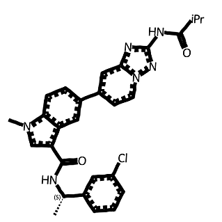 CC(C)C(=O)Nc1nc2cc(-c3ccc4c(c3)c(C(=O)N[C@@H](C)c3cccc(Cl)c3)cn4C)ccn2n1